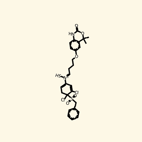 CC1(C)OC(=O)Nc2ccc(OCCCC=[N+](S)C3=CCC(Cl)(S(=O)(=O)Cc4ccccc4)C(Cl)=C3)cc21